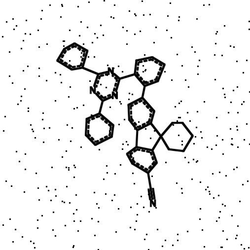 N#Cc1ccc2c(c1)C1(CCCCC1)c1cc(-c3ccccc3-c3nc(-c4ccccc4)nc(-c4ccccc4)n3)ccc1-2